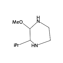 COC1NCCNC1C(C)C